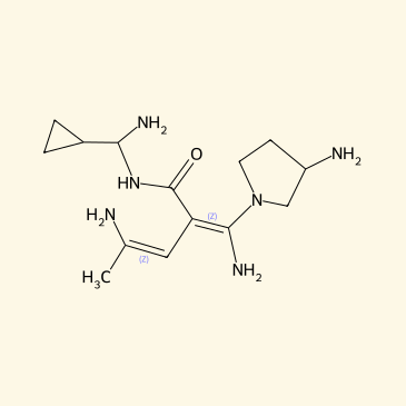 C/C(N)=C/C(C(=O)NC(N)C1CC1)=C(\N)N1CCC(N)C1